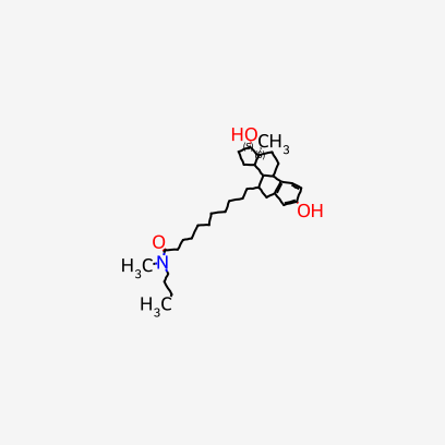 CCCCN(C)C(=O)CCCCCCCCCCC1Cc2cc(O)ccc2C2CC[C@@]3(C)C(CC[C@@H]3O)C12